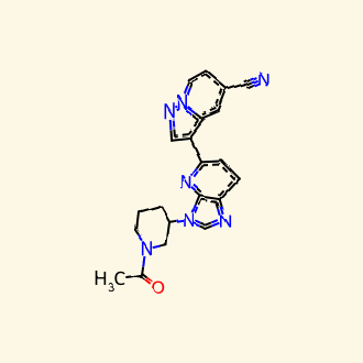 CC(=O)N1CCCC(n2cnc3ccc(-c4cnn5ccc(C#N)cc45)nc32)C1